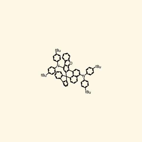 CC(C)(C)c1ccc(N(c2ccc(C(C)(C)C)cc2)c2ccc3c4c(cccc24)C2(c4ccccc4-c4ccccc42)c2cc(N(c4ccc(C(C)(C)C)cc4)c4ccc(C(C)(C)C)cc4)c4c(oc5ccccc54)c2-3)cc1